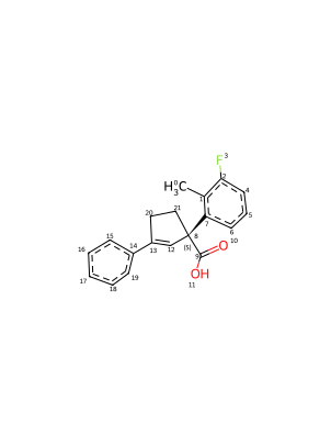 Cc1c(F)cccc1[C@@]1(C(=O)O)C=C(c2ccccc2)CC1